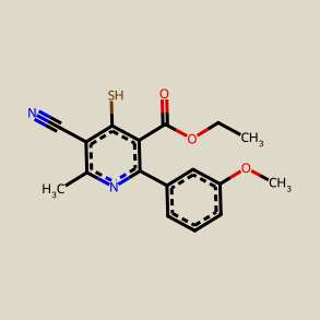 CCOC(=O)c1c(-c2cccc(OC)c2)nc(C)c(C#N)c1S